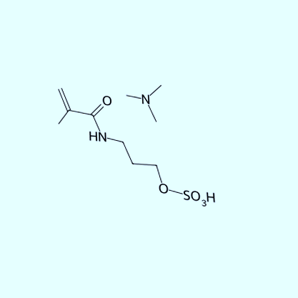 C=C(C)C(=O)NCCCOS(=O)(=O)O.CN(C)C